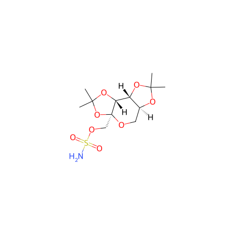 CC1(C)O[C@@H]2[C@H](CO[C@@]3(COS(N)(=O)=O)OC(C)(C)O[C@H]23)O1